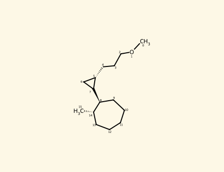 COCCC[C@H]1CC1[C@H]1CCCCC[C@@H]1C